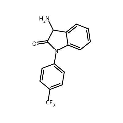 NC1C(=O)N(c2ccc(C(F)(F)F)cc2)c2ccccc21